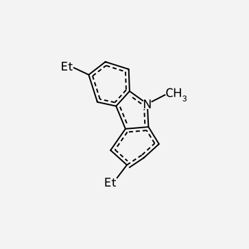 CCc1ccc2c(c1)c1cc(CC)ccc1n2C